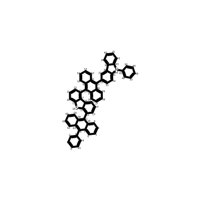 c1ccc(-c2c3ccccc3c(-c3cccc4c3sc3cccc(-c5c6ccccc6c(-c6ccc7c(c6)c6ccccc6n7-c6ccccc6)c6ccccc56)c34)c3ccccc23)cc1